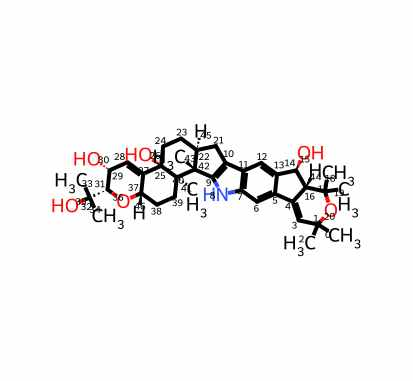 CC1(C)C=C2c3cc4[nH]c5c(c4cc3[C@@H](O)[C@@H]2C(C)(C)O1)C[C@@H]1CC[C@@]2(O)C3=C[C@@H](O)[C@@H](C(C)(C)O)O[C@H]3CC[C@]2(C)[C@@]51C